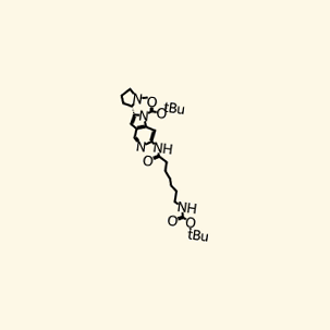 CN1CCC[C@H]1c1cc2cnc(NC(=O)CCCCCCNC(=O)OC(C)(C)C)cc2n1C(=O)OC(C)(C)C